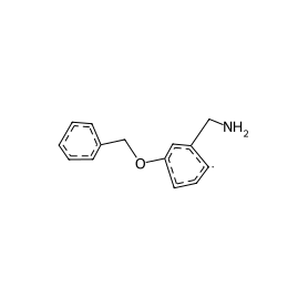 NCc1[c]ccc(OCc2ccccc2)c1